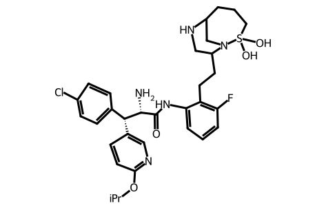 CC(C)Oc1ccc([C@H](c2ccc(Cl)cc2)[C@H](N)C(=O)Nc2cccc(F)c2CCC2CNC3CCCS(O)(O)N2C3)cn1